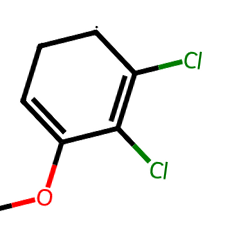 COC1=CC[CH]C(Cl)=C1Cl